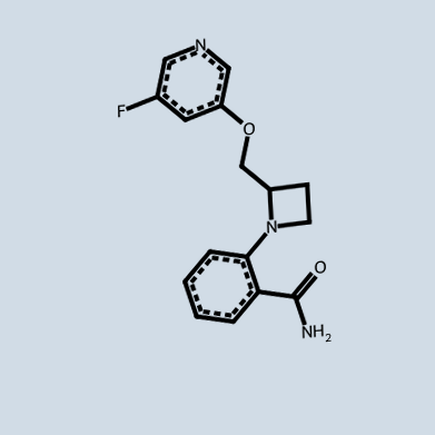 NC(=O)c1ccccc1N1CCC1COc1cncc(F)c1